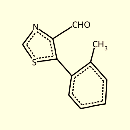 Cc1ccccc1-c1scnc1C=O